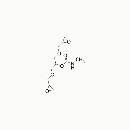 CNC(=O)OC(COCC1CO1)COCC1CO1